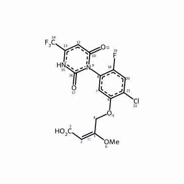 CO/C(=C/C(=O)O)COc1cc(-n2c(=O)cc(C(F)(F)F)[nH]c2=O)c(F)cc1Cl